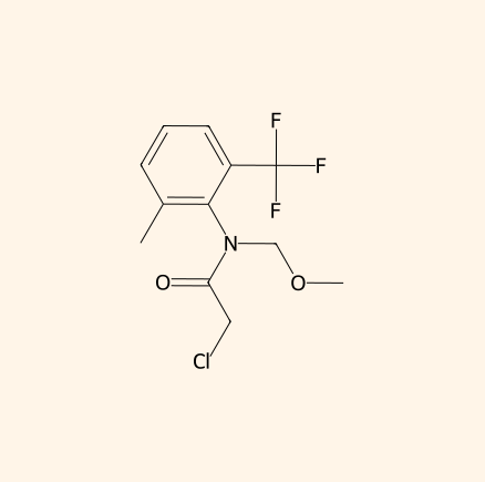 COCN(C(=O)CCl)c1c(C)cccc1C(F)(F)F